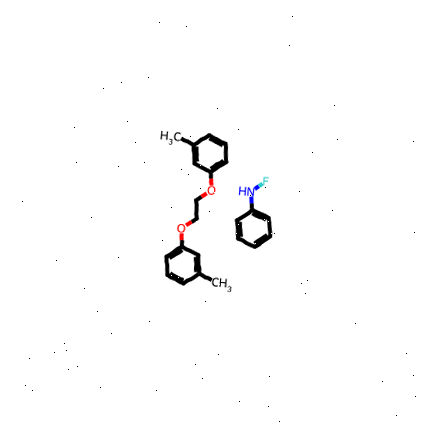 Cc1cccc(OCCOc2cccc(C)c2)c1.FNc1ccccc1